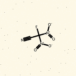 N#CC(F)([N+](=O)[O-])[N+](=O)[O-]